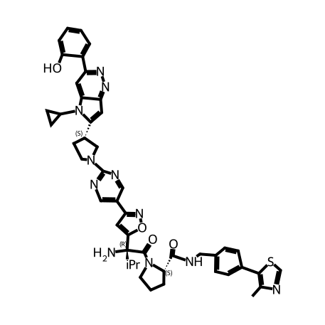 Cc1ncsc1-c1ccc(CNC(=O)[C@@H]2CCCN2C(=O)[C@](N)(c2cc(-c3cnc(N4CC[C@H](c5cc6nnc(-c7ccccc7O)cc6n5C5CC5)C4)nc3)no2)C(C)C)cc1